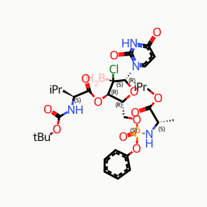 B[C@]1(Cl)[C@H](OC(=O)[C@@H](NC(=O)OC(C)(C)C)C(C)C)[C@@H](CO[P@@](=O)(N[C@@H](C)C(=O)OC(C)C)Oc2ccccc2)O[C@H]1n1ccc(=O)[nH]c1=O